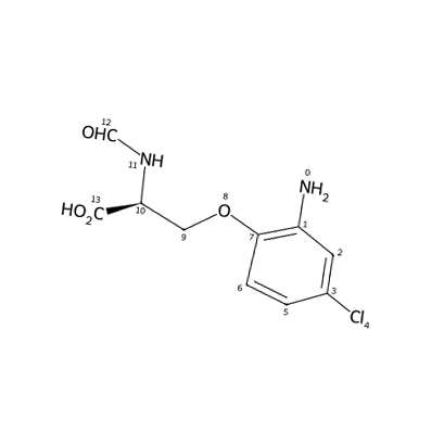 Nc1cc(Cl)ccc1OC[C@H](NC=O)C(=O)O